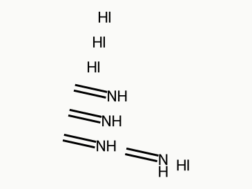 C=N.C=N.C=N.C=N.I.I.I.I